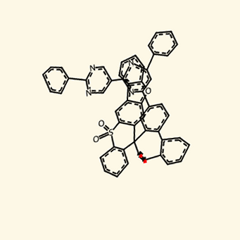 O=S1(=O)c2ccccc2C2(c3ccccc3-c3ccccc3-c3ccc(-c4cc(-c5ccccc5)nc(-c5cnc(-c6ccccc6)nc5)n4)cc32)c2cc3oc4ccccc4c3cc21